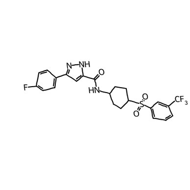 O=C(NC1CCC(S(=O)(=O)c2cccc(C(F)(F)F)c2)CC1)c1cc(-c2ccc(F)cc2)n[nH]1